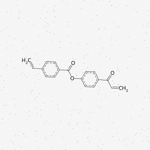 C=CC(=O)c1ccc(OC(=O)c2ccc(C=C)cc2)cc1